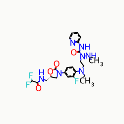 CCN(CCN(NC)C(=O)Nc1ccccn1)c1ccc(N2C[C@H](CNC(=O)C(F)F)OC2=O)cc1F